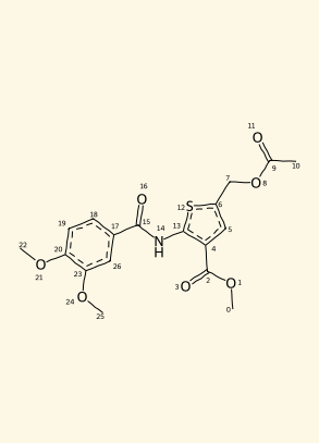 COC(=O)c1cc(COC(C)=O)sc1NC(=O)c1ccc(OC)c(OC)c1